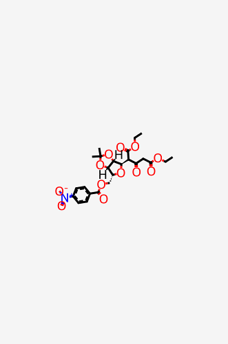 CCOC(=O)CC(=O)C(C(=O)OCC)[C@H]1O[C@H](COC(=O)c2ccc([N+](=O)[O-])cc2)[C@H]2OC(C)(C)O[C@H]21